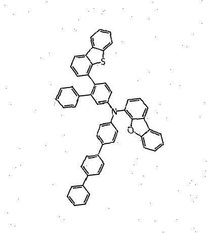 c1ccc(-c2ccc(-c3ccc(N(c4ccc(-c5cccc6c5sc5ccccc56)c(-c5ccccc5)c4)c4cccc5c4oc4ccccc45)cc3)cc2)cc1